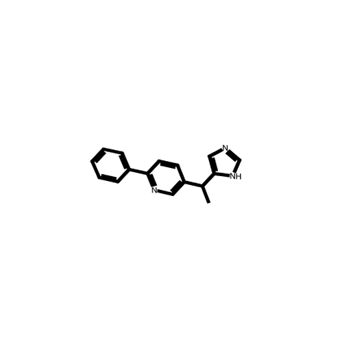 CC(c1ccc(-c2ccccc2)nc1)c1cnc[nH]1